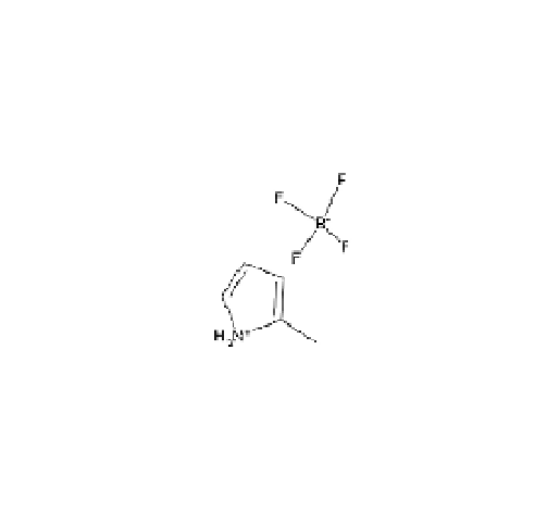 CC1=CC=C[NH2+]1.F[B-](F)(F)F